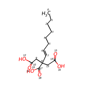 CCCCCCC=CC(CC(=O)O)(CC(=O)O)C(=O)O